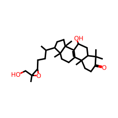 CC(CCC1OC1(C)CO)C1CCC2(C)C3=C(CCC12C)C1(C)CCC(=O)C(C)(C)C1CC3O